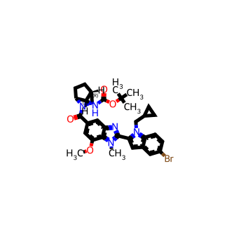 COc1cc(C(=O)N2C[C@H]3CCC2[C@H]3NC(=O)OC(C)(C)C)cc2nc(-c3cc4cc(Br)ccc4n3CC3CC3)n(C)c12